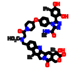 CCNC(=O)c1nnc(-c2cc(C(C)C)c(O)cc2O)n1-c1ccc(OC2CCN(C(=O)CN(Cc3ccc4nc5c(c(CC)c4c3)Cn3c-5cc4c(c3=O)COC(=O)[C@]4(O)CC)C(=O)O)CC2)cc1